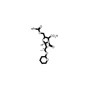 CCCC(=O)OCC1S[C@@H]2[C@@H]([C@@H](C)OC3CCCCO3)C(=O)N2C1C(=O)O